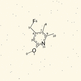 COc1cc(CF)c(C)c(C)n1